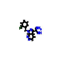 N=C(N)c1nn(Cc2ccccc2F)c2nnccc12